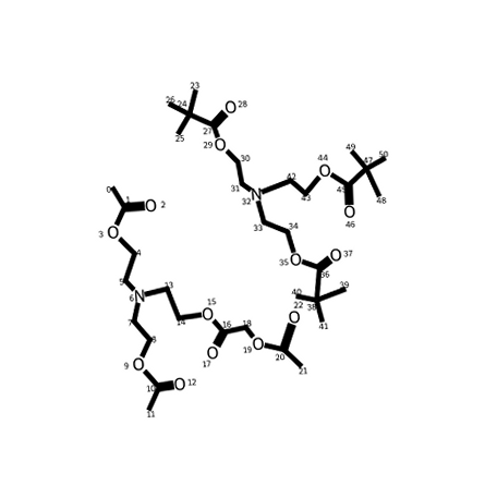 CC(=O)OCCN(CCOC(C)=O)CCOC(=O)COC(C)=O.CC(C)(C)C(=O)OCCN(CCOC(=O)C(C)(C)C)CCOC(=O)C(C)(C)C